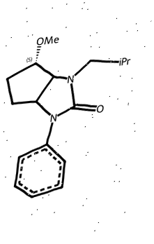 CO[C@H]1CCC2C1N(CC(C)C)C(=O)N2c1ccccc1